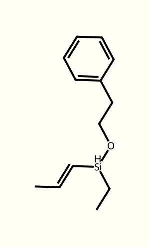 CC=C[SiH](CC)OCCc1ccccc1